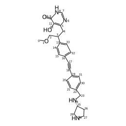 COCC(Cc1nc[nH]c(=O)c1O)c1ccc(C#Cc2ccc(CN[C@@H]3CCNC3)cc2)cc1